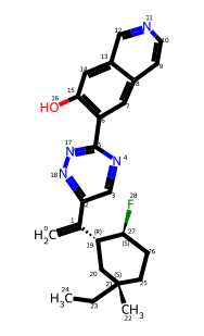 C=C(c1cnc(-c2cc3ccncc3cc2O)nn1)[C@H]1C[C@@](C)(CC)CC[C@@H]1F